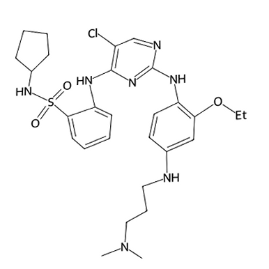 CCOc1cc(NCCCN(C)C)ccc1Nc1ncc(Cl)c(Nc2ccccc2S(=O)(=O)NC2CCCC2)n1